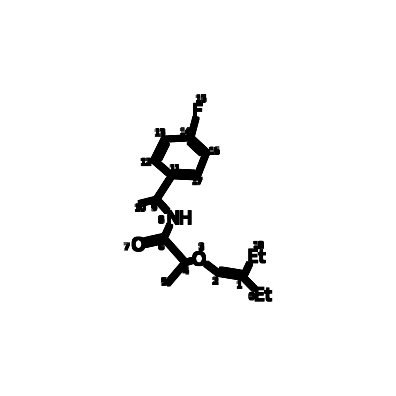 CCC(=COC(C)C(=O)NC(C)c1ccc(F)cc1)CC